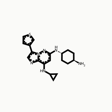 N[C@H]1CC[C@H](Nc2cc(NC3CC3)c3ncc(-c4ccsc4)n3n2)CC1